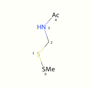 CSSCNC(C)=O